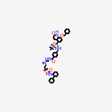 CN(CCNC(=O)c1ccc(CNC[C@@H](O[Si](C)(C)C(C)(C)C)c2ccc(OCc3ccccc3)c3[nH]c(=O)ccc23)cc1)CCC(C)(C)OC(=O)Nc1ccccc1-c1ccccc1